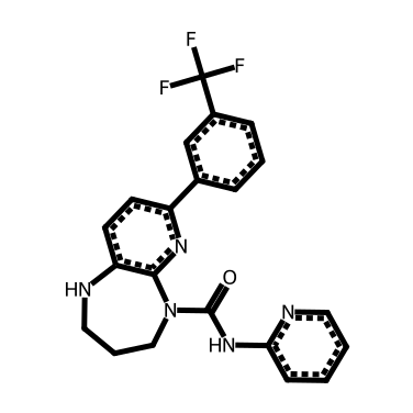 O=C(Nc1ccccn1)N1CCCNc2ccc(-c3cccc(C(F)(F)F)c3)nc21